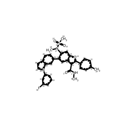 CNC(=O)c1c(-c2ccc(C)cc2)oc2cc(N(C)S(C)(=O)=O)c(-c3ccc4ccn(-c5cccc(F)c5)c4c3)cc12